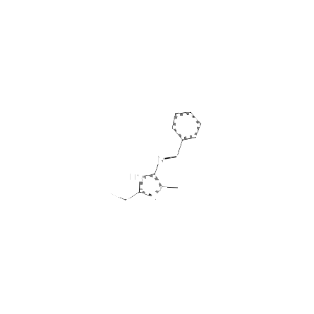 CCc1nc(C)c(NCc2ccccc2)[nH]1